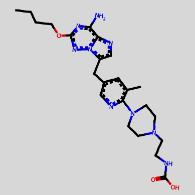 CCCCOc1nc(N)c2ncc(Cc3cnc(N4CCN(CCNC(=O)O)CC4)c(C)c3)n2n1